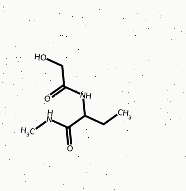 CCC(NC(=O)CO)C(=O)NC